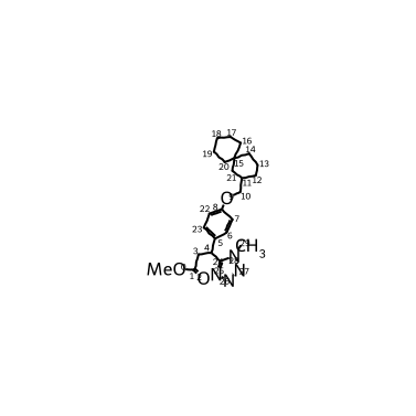 COC(=O)CC(c1ccc(OCC2CCCC3(CCCCC3)C2)cc1)c1nnnn1C